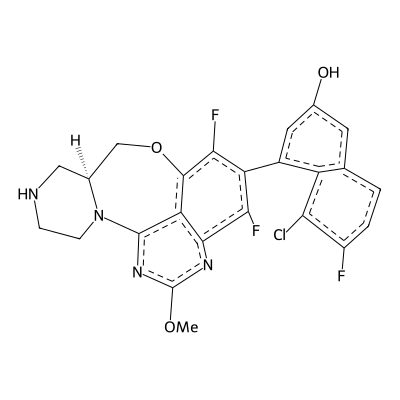 COc1nc2c3c(c(F)c(-c4cc(O)cc5ccc(F)c(Cl)c45)c(F)c3n1)OC[C@@H]1CNCCN21